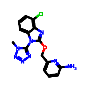 Cn1nnnc1-n1c(OCc2cccc(N)n2)nc2c(Cl)cccc21